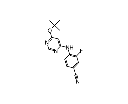 CC(C)(C)Oc1cc(Nc2ccc(C#N)cc2F)ncn1